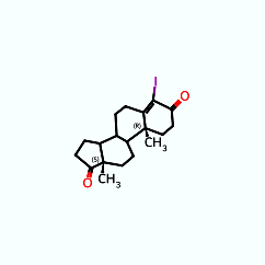 C[C@]12CCC(=O)C(I)=C1CCC1C2CC[C@]2(C)C(=O)CCC12